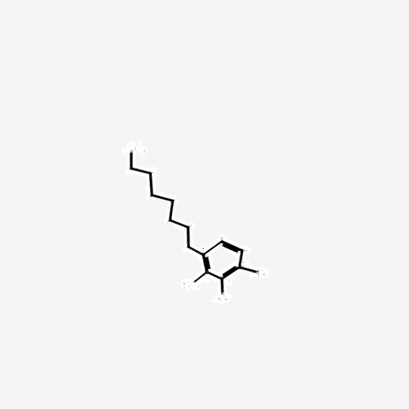 CCCCCCCCc1ccc(Br)c(Br)c1Br